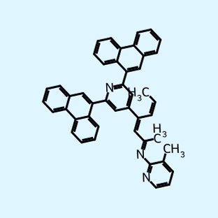 C\C=C/C(=C\C(C)=N\c1ncccc1C)c1cc(-c2cc3ccccc3c3ccccc23)nc(-c2cc3ccccc3c3ccccc23)c1